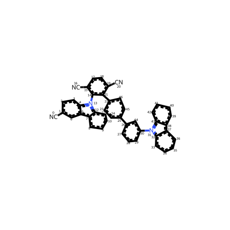 N#Cc1ccc2c(c1)c1ccccc1n2-c1c(C#N)ccc(C#N)c1-c1ccc(-c2cccc(-n3c4ccccc4c4ccccc43)c2)cc1